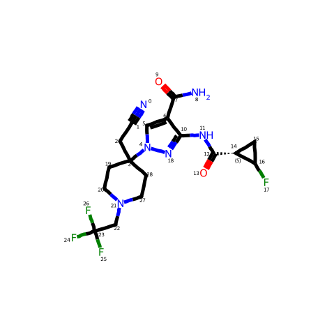 N#CCC1(n2cc(C(N)=O)c(NC(=O)[C@@H]3CC3F)n2)CCN(CC(F)(F)F)CC1